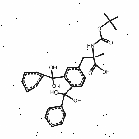 CC(C)(C)OC(=O)N[C@@](C)(Cc1ccc(C(O)(O)c2ccccc2)c(C(O)(O)c2ccccc2)c1)C(=O)O